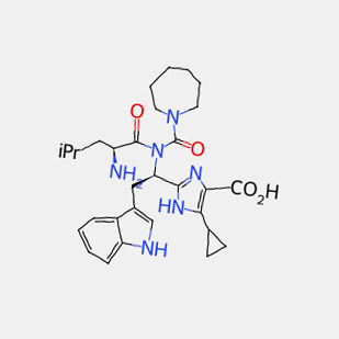 CC(C)C[C@H](N)C(=O)N(C(=O)N1CCCCCC1)[C@H](Cc1c[nH]c2ccccc12)c1nc(C(=O)O)c(C2CC2)[nH]1